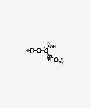 O=C(O)c1cc(-n2cc(-c3ccc(C(F)(F)F)cc3)nn2)cc(-c2ccc(C3CCNCC3)cc2)n1